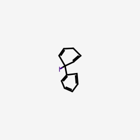 IC1(c2ccccc2)C=CCC=C1